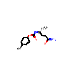 CC(C)(C)C1CCC(OC(=O)N[C@@H](CCC(N)=O)C(=O)O)CC1